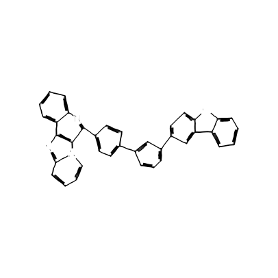 c1cc(-c2ccc(-c3nc4ccccc4c4nc5ccccn5c34)cc2)cc(-c2ccc3oc4ccccc4c3c2)c1